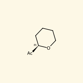 CC(=O)[C@H]1CCCCO1